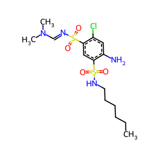 CCCCCCNS(=O)(=O)c1cc(S(=O)(=O)N=CN(C)C)c(Cl)cc1N